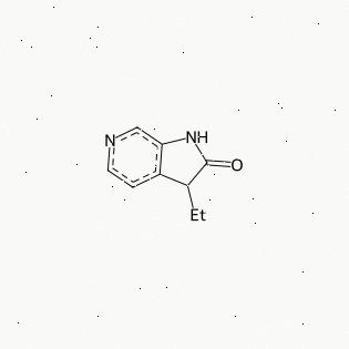 CCC1C(=O)Nc2cnccc21